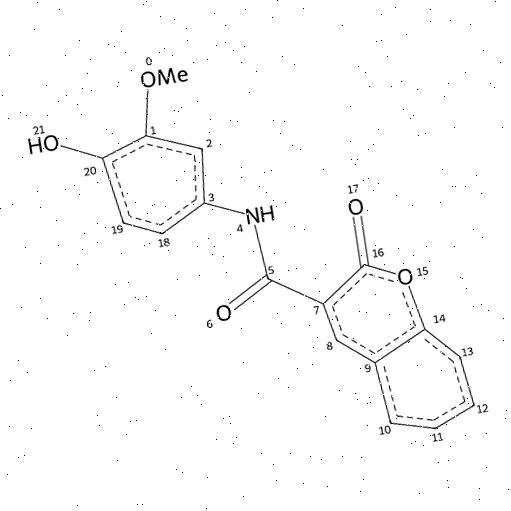 COc1cc(NC(=O)c2cc3ccccc3oc2=O)ccc1O